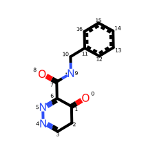 O=C1CC=NN=C1C(=O)[N]Cc1ccccc1